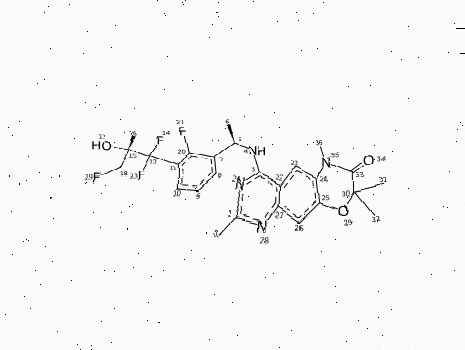 Cc1nc(N[C@H](C)c2cccc(C(F)(F)[C@@](C)(O)CF)c2F)c2cc3c(cc2n1)OC(C)(C)C(=O)N3C